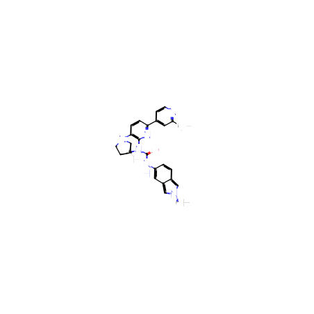 Cc1cc(-c2ccc3c(n2)N(C(=O)Nc2ccc4cn(C)cc4c2)[C@H]2CCN3C2)ccn1